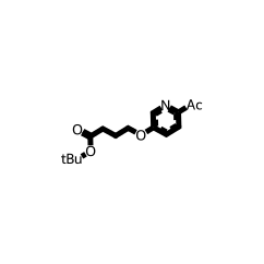 CC(=O)c1ccc(OCCCC(=O)OC(C)(C)C)cn1